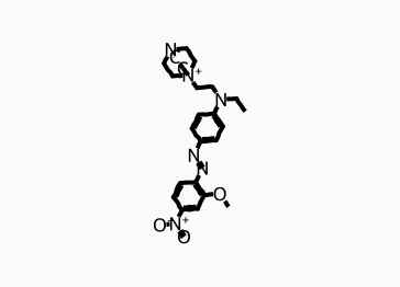 CCN(CC[N+]12CCN(CC1)CC2)c1ccc(/N=N/c2ccc([N+](=O)[O-])cc2OC)cc1